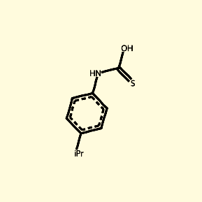 CC(C)c1ccc(NC(O)=S)cc1